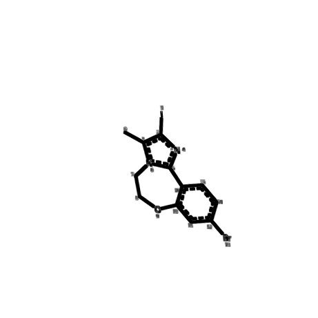 Cc1c(I)nc2n1CCOc1cc(Br)ccc1-2